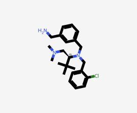 CN(C)C[C@@H](N(Cc1cccc(CN)c1)Cc1ccccc1Cl)C(C)(C)C